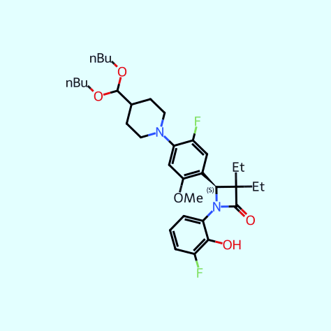 CCCCOC(OCCCC)C1CCN(c2cc(OC)c([C@@H]3N(c4cccc(F)c4O)C(=O)C3(CC)CC)cc2F)CC1